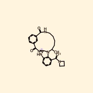 CC1CCCCNC(=O)c2cccc(c2)C(=O)/N=C2\Nc3cccc(C(=O)N4CCC4)c3N21